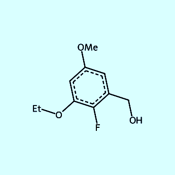 CCOc1cc(OC)cc(CO)c1F